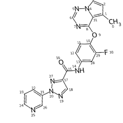 Cc1ccn2ncnc(Oc3ccc(NC(=O)c4cnn(-c5cccnc5)n4)cc3F)c12